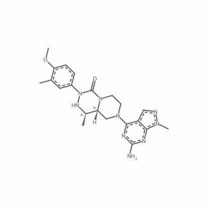 COc1ccc(N2N[C@H](C)[C@H]3CN(c4nc(N)nc5c4cnn5C)CCN3C2=O)cc1C